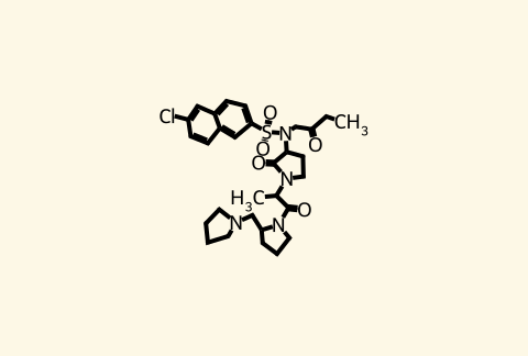 CCC(=O)CN(C1CCN(C(C)C(=O)N2CCCC2CN2CCCC2)C1=O)S(=O)(=O)c1ccc2cc(Cl)ccc2c1